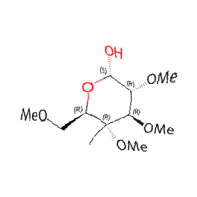 COC[C@H]1O[C@H](O)[C@H](OC)[C@@H](OC)[C@]1(C)OC